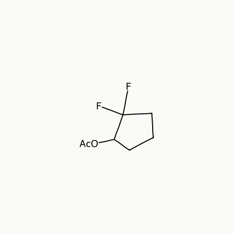 CC(=O)OC1CCCC1(F)F